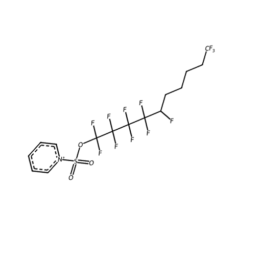 O=S(=O)(OC(F)(F)C(F)(F)C(F)(F)C(F)(F)C(F)CCCCC(F)(F)F)[n+]1ccccc1